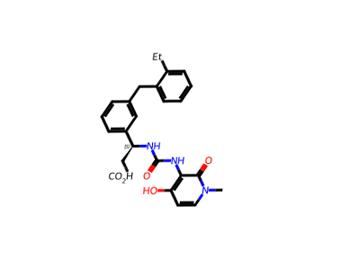 CCc1ccccc1Cc1cccc([C@H](CC(=O)O)NC(=O)Nc2c(O)ccn(C)c2=O)c1